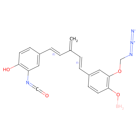 BOc1ccc(/C=C/C(=C)/C=C/c2ccc(O)c(N=C=O)c2)cc1OCN=[N+]=[N-]